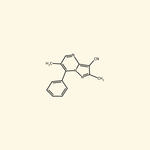 Cc1cnc2c(C#N)c(C)nn2c1-c1ccccc1